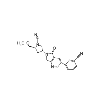 COC[C@@H]1C[C@@H](N2Cc3ncc(-c4cccc(C#N)c4)cc3C2=O)CN1C#N